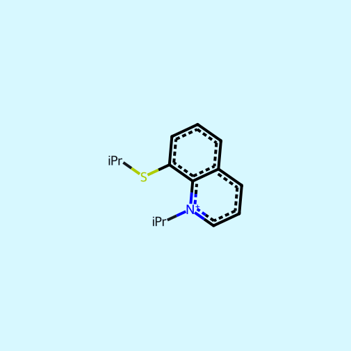 CC(C)Sc1cccc2ccc[n+](C(C)C)c12